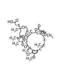 COc1cc2cc(c1Cl)N(C)C(=O)CC(OC(=O)C(C)N(C)C(=O)CCC(C)(C)SCC(=O)O)C1(C)OC1C(C)C1CC(O)(NC(=O)O1)C(OC)/C=C/C=C(\C)C2